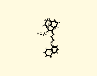 O=C(O)c1c(CCCOc2cccc3c2CCCC3)c2cccc3c2n1CCO3